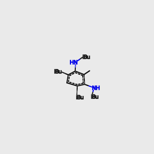 CCC(C)Nc1c(C(C)CC)cc(C(C)CC)c(NC(C)CC)c1C